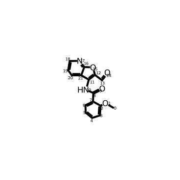 COc1ccccc1C(=O)Nc1c(C=O)oc2ncccc12